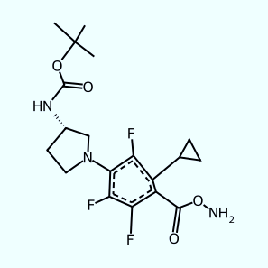 CC(C)(C)OC(=O)N[C@H]1CCN(c2c(F)c(F)c(C(=O)ON)c(C3CC3)c2F)C1